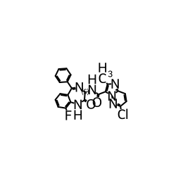 Cc1nc2ccc(Cl)nn2c1C(=O)N[C@H]1N=C(c2ccccc2)c2cccc(F)c2NC1=O